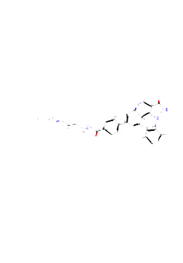 NC(=O)c1cnc2cc(-c3ccc(C(=O)NCCCCNC(=O)O)cc3)ccc2c1Nc1ccccc1